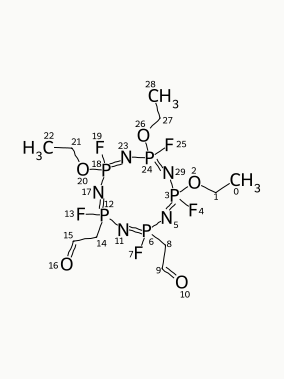 CCOP1(F)=NP(F)(CC=O)=NP(F)(CC=O)=NP(F)(OCC)=NP(F)(OCC)=N1